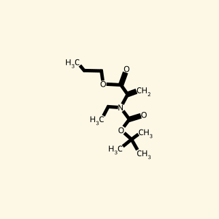 C=C(C(=O)OCCC)N(CC)C(=O)OC(C)(C)C